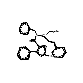 Cc1nc(C(=O)N(Cc2ccccc2)[C@H](CN)CCc2ccccc2)c(-c2ccccc2)s1